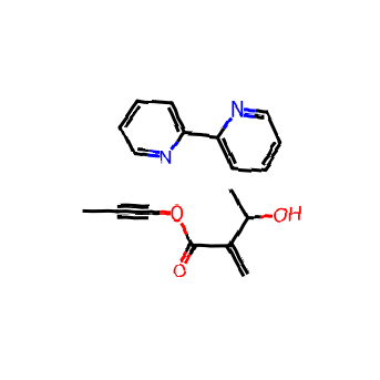 C=C(C(=O)OC#CC)C(C)O.c1ccc(-c2ccccn2)nc1